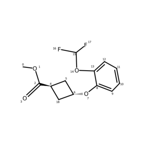 COC(=O)[C@H]1C[C@H](Oc2ccccc2OC(F)F)C1